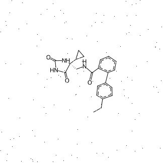 CCc1ccc(-c2ccccc2C(=O)NC[C@@]2(C3CC3)NC(=O)NC2=O)cc1